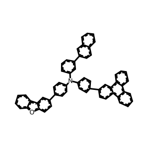 c1cc(-c2ccc3ccccc3c2)cc(N(c2ccc(-c3ccc4oc5ccccc5c4c3)cc2)c2ccc(-c3ccc4c5ccccc5c5ccccc5c4c3)cc2)c1